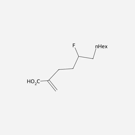 C=C(CCC(F)CCCCCCC)C(=O)O